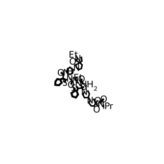 CCN1CCC2(CCCN(C3CCN(C(=O)c4c(NC(=O)N(CC)N(C(N)=O)c5sc6ccccc6c5C(=O)N5CCC(N6CCCC7(C6)OC(=O)N(C(C)C)C7=O)CC5)sc5ccccc45)CC3)C2)C1=O